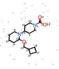 O=C(O)N1CCC(N2CCCCC2OCC2CCC2)CC1